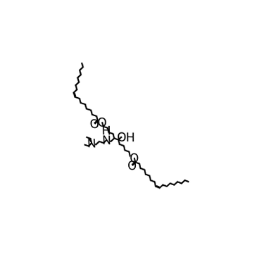 CCCCCCCC/C=C\CCCCCCCC(=O)OCCCCCC(O)C(CCCCOC(=O)CCCCCCC/C=C\CCCCCCCC)CNCCCN(CC)CC